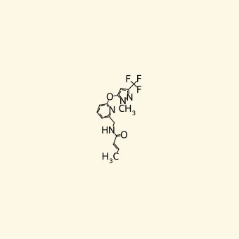 CC=CC(=O)NCc1cccc(Oc2cc(C(F)(F)F)nn2C)n1